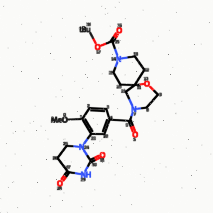 COc1ccc(C(=O)N2CCOC3(CCN(C(=O)OC(C)(C)C)CC3)C2)cc1N1CCC(=O)NC1=O